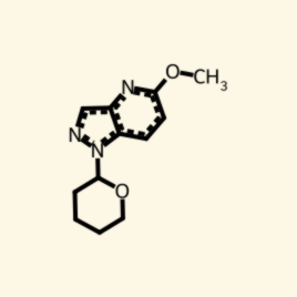 COc1ccc2c(cnn2C2CCCCO2)n1